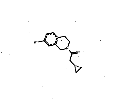 CC(C)c1ccc2c(c1)CN(C(=O)CC1CC1)CC2